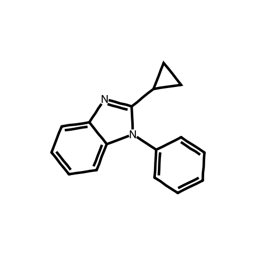 c1ccc(-n2c(C3CC3)nc3ccccc32)cc1